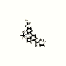 FC(F)Oc1ccc(-c2nnc(NC3CCCOC3)n3cccc23)c(OC(F)(F)F)c1